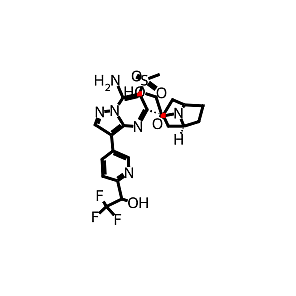 CS(=O)(=O)c1c([C@@H]2CC3CC[C@@H](C2)N3C(=O)CO)nc2c(-c3ccc(C(O)C(F)(F)F)nc3)cnn2c1N